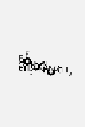 COc1cccc(-c2ncc3c(n2)CCN(c2cc(F)c(F)c(OC)c2)C3)n1